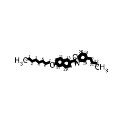 CCCCCCCCOc1ccc2cc(-c3nc4cc(CCCC)ccc4o3)ccc2c1